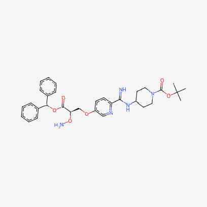 CC(C)(C)OC(=O)N1CCC(NC(=N)c2ccc(OC[C@@H](ON)C(=O)OC(c3ccccc3)c3ccccc3)cn2)CC1